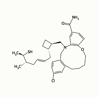 C[C@@H](S)[C@@H](C)C/C=C/C[C@@H]1CC[C@H]1CN1Cc2ccc(Cl)cc2CCCCOc2ccc(C(N)=O)cc21